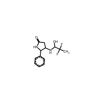 CC(F)(F)C(O)NC1CC(=O)NC1c1ccccc1